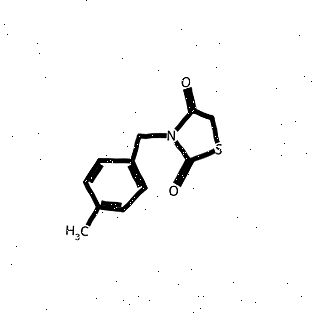 Cc1ccc(CN2C(=O)CSC2=O)cc1